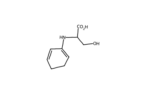 O=C(O)C(CO)NC1=CCCC=C1